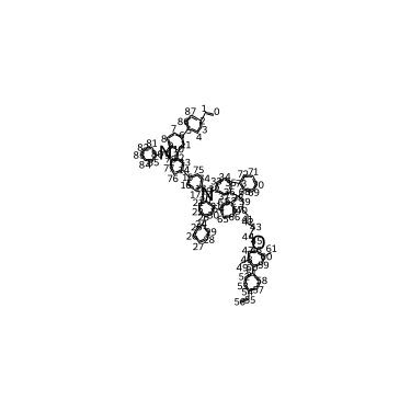 C=Cc1ccc(-c2ccc3c(c2)c2cc(-c4ccc(N(c5ccc(-c6ccccc6)cc5)c5ccc6c(c5)C(CCCCCCOc5cc(C)c(-c7ccc(C=C)cc7)cc5C)(c5ccccc5)c5ccccc5-6)cc4)ccc2n3-c2ccccc2)cc1